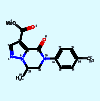 COC(=O)c1cnn2c1C(=O)N(c1ccc(C(F)(F)F)cc1)CC2C